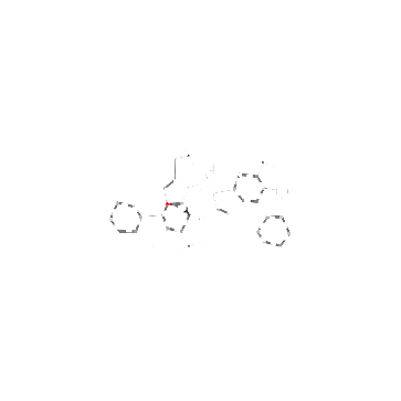 COc1c(C(C)(C)C)cc2c(c1-c1ccccc1)C=C(CC(C)(C)C)[CH]2[Zr]([CH]1C(CC(C)(C)C)=Cc2c1cc(C(C)(C)C)c(OC)c2-c1ccccc1)=[Si](C)C